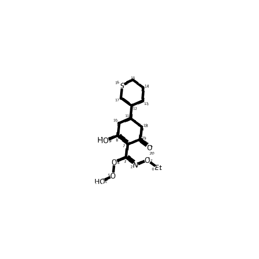 CCO/N=C(/OOO)C1=C(O)CC(C2CCCSC2)CC1=O